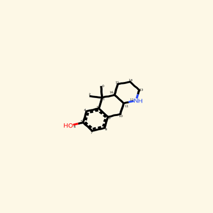 CC1(C)c2cc(O)ccc2CC2NCCCC21